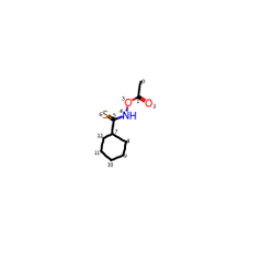 CC(=O)ONC(=S)C1CCCCC1